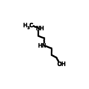 CNCCNCCCO